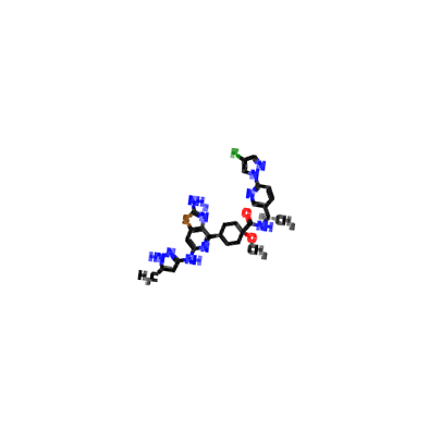 CO[C@]1(C(=O)N[C@@H](C)c2ccc(-n3cc(F)cn3)nc2)CC[C@H](c2nc(Nc3cc(C)[nH]n3)cc3sc(N)nc32)CC1